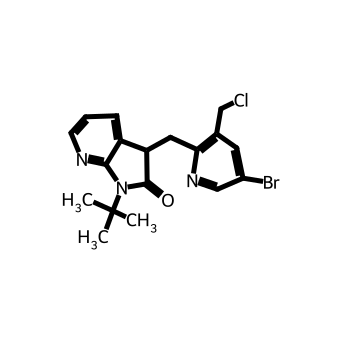 CC(C)(C)N1C(=O)C(Cc2ncc(Br)cc2CCl)c2cccnc21